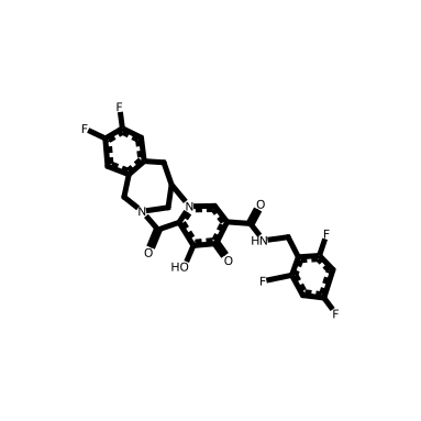 O=C(NCc1c(F)cc(F)cc1F)c1cn2c(c(O)c1=O)C(=O)N1Cc3cc(F)c(F)cc3CC2C1